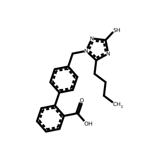 CCCCc1nc(S)nn1Cc1ccc(-c2ccccc2C(=O)O)cc1